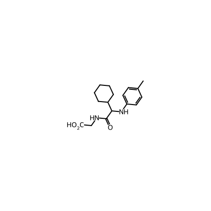 Cc1ccc(NC(C(=O)NCC(=O)O)C2CCCCC2)cc1